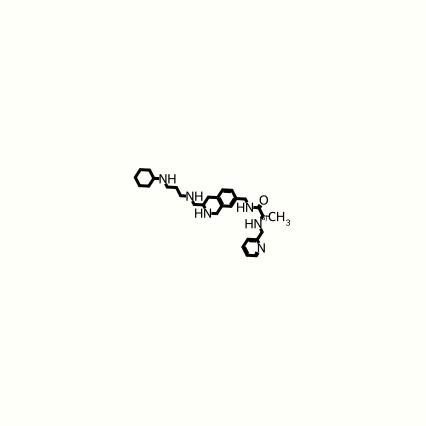 C[C@H](NCc1ccccn1)C(=O)NCc1ccc2c(c1)CNC(CNCCCNC1CCCCC1)C2